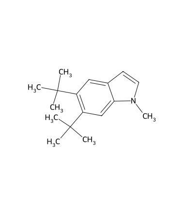 Cn1ccc2cc(C(C)(C)C)c(C(C)(C)C)cc21